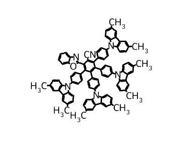 Cc1ccc2c(c1)c1cc(C)ccc1n2-c1ccc(-c2c(C#N)c(-c3nc4ccccc4o3)c(-c3ccc(-n4c5ccc(C)cc5c5cc(C)ccc54)cc3)c(-c3ccc(-n4c5ccc(C)cc5c5cc(C)ccc54)cc3)c2-c2ccc(-n3c4ccc(C)cc4c4cc(C)ccc43)cc2)cc1